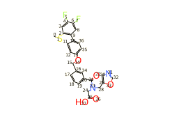 CSc1cc(F)c(F)cc1-c1ccc(OCc2cccc(C(=O)N(CC(=O)O)Cc3cnco3)c2)cc1